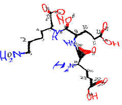 NCCCCC(NC(=O)C(CCC(=O)O)NC(=O)C(N)CCC(=O)O)C(=O)O